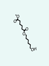 COC(=O)CCCCC(=O)OCCCCCCO